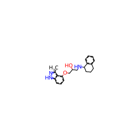 Cc1n[nH]c2cccc(OC[C@@H](O)CNC3CCCc4ccccc43)c12